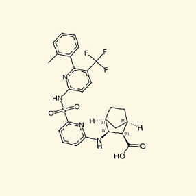 Cc1ccccc1-c1nc(NS(=O)(=O)c2cccc(N[C@H]3[C@H]4CC[C@H](C4)[C@H]3C(=O)O)n2)ccc1C(F)(F)F